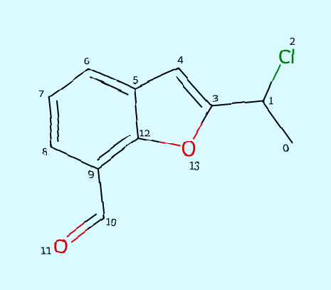 CC(Cl)c1cc2cccc(C=O)c2o1